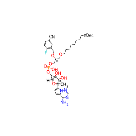 CCCCCCCCCCCCCCCCCCOC[C@H](COP(=O)(O)OC1[C@H]2O[C@@](C)(c3ccc4c(N)ncnn34)[C@H](O)[C@@]12O)OCc1cc(C#N)ccc1F